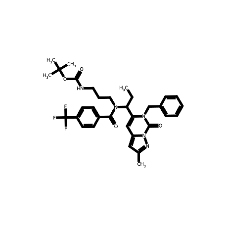 CCC(c1cc2cc(C)nn2c(=O)n1Cc1ccccc1)N(CCCNC(=O)OC(C)(C)C)C(=O)c1ccc(C(F)(F)F)cc1